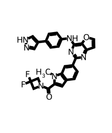 Cn1c(C(=O)N2CC(F)(F)C2)cc2ccc(-c3nc(Nc4ccc(-c5cn[nH]c5)cc4)c4occc4n3)cc21